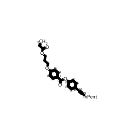 C=CC(=O)OCCCOc1ccc(C(=O)Oc2ccc(C#CCCCCC)cc2)cc1